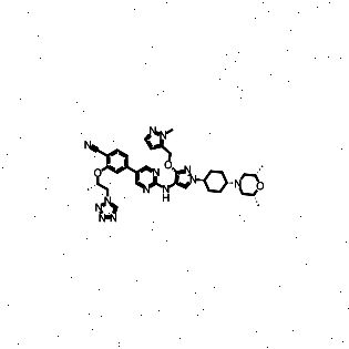 C[C@@H]1CN([C@H]2CC[C@H](n3cc(Nc4ncc(-c5ccc(C#N)c(O[C@@H](C)Cn6cnnn6)c5)cn4)c(OCc4ccnn4C)n3)CC2)C[C@H](C)O1